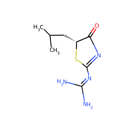 CC(C)C[C@H]1SC(N=C(N)N)=NC1=O